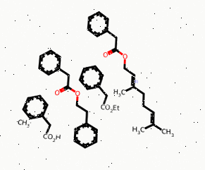 CC(C)=CCC/C(C)=C/COC(=O)Cc1ccccc1.CCOC(=O)Cc1ccccc1.O=C(Cc1ccccc1)OCCc1ccccc1.O=C(O)Cc1ccccc1.[CH3]